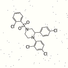 O=S(=O)(c1ccccc1Cl)N1CCN(c2ccc(Cl)cc2Cl)C(c2ccc(Cl)cc2)C1